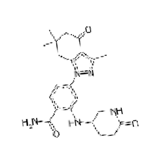 Cc1nn(-c2ccc(C(N)=O)c(NC3CCC(=O)NC3)c2)c2c1C(=O)CC(C)(C)C2